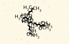 CC(C)CCC(=O)N[C@H](C(=O)N[C@@H](CCCNC(N)=O)C(=O)NCCCC(=O)C(C)(C)C)C(C)C